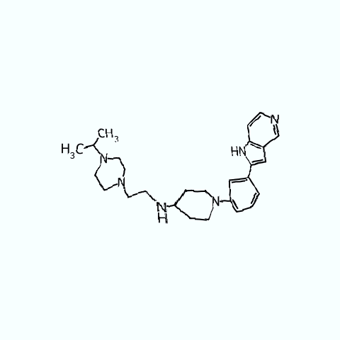 CC(C)N1CCN(CCNC2CCN(c3cccc(-c4cc5cnccc5[nH]4)c3)CC2)CC1